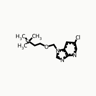 C[Si](C)(C)CCOCn1cnc2ncc(Cl)cc21